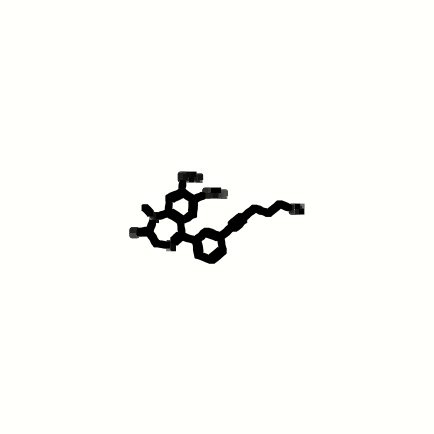 COc1cc2c(cc1OC)N(C)C(=O)CN=C2c1cccc(C#CCCCC#N)c1